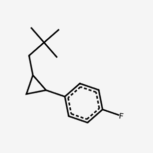 CC(C)(C)CC1CC1c1ccc(F)cc1